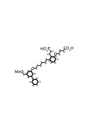 COCc1cc(OCCCCCCc2cccc(OCCCC(=O)O)c2CCC(=O)O)cc(-c2ccccc2)c1